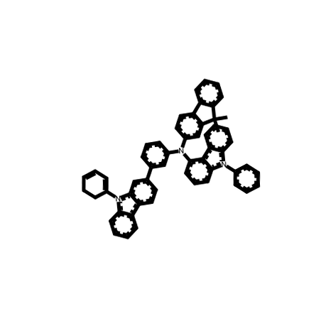 CC1(C)c2ccccc2-c2ccc(N(c3cccc(-c4ccc5c6ccccc6n(C6=CC=CCC6)c5c4)c3)c3cccc4c3c3ccccc3n4-c3ccccc3)cc21